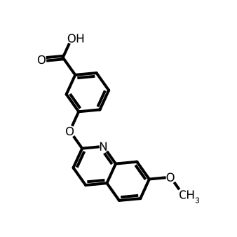 COc1ccc2ccc(Oc3cccc(C(=O)O)c3)nc2c1